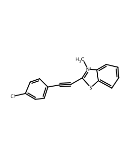 C[n+]1c(C#Cc2ccc(Cl)cc2)sc2ccccc21